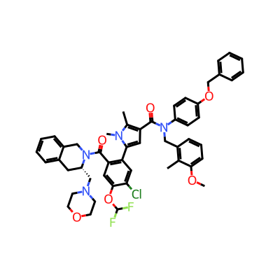 COc1cccc(CN(C(=O)c2cc(-c3cc(Cl)c(OC(F)F)cc3C(=O)N3Cc4ccccc4C[C@H]3CN3CCOCC3)n(C)c2C)c2ccc(OCc3ccccc3)cc2)c1C